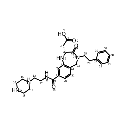 O=C(O)C[C@H]1Nc2cc(C(=O)NCCN3CCNCC3)ccc2CN(CCc2ccccc2)C1=O